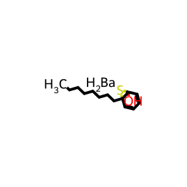 CCCCCCCCC12C=CC=CC1(O)S2.[BaH2]